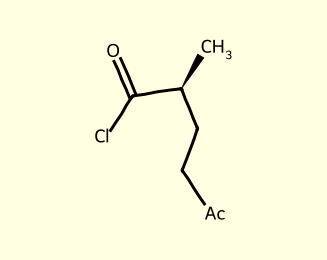 CC(=O)CC[C@H](C)C(=O)Cl